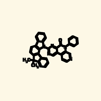 CC1(C)c2ccccc2-c2c1ccc1c3ccccc3n(-c3ncc4c(n3)c(=O)n(-c3ccccc3)c3cnccc43)c21